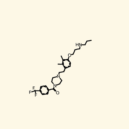 CCCNCCCOc1ccc(CCN2CCN(C(=O)c3ccc(C(F)(F)F)cc3)CC2)c(C)c1C